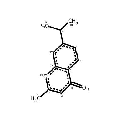 Cc1cc(=O)c2ccc(C(C)O)cc2o1